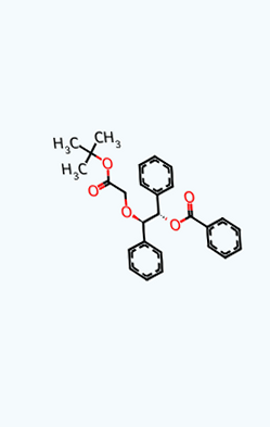 CC(C)(C)OC(=O)CO[C@H](c1ccccc1)[C@@H](OC(=O)c1ccccc1)c1ccccc1